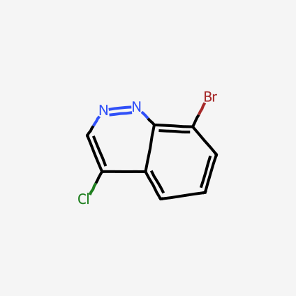 Clc1cnnc2c(Br)cccc12